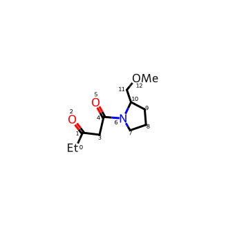 CCC(=O)CC(=O)N1CCCC1COC